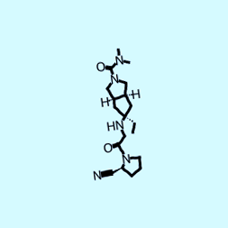 CC[C@]1(NCC(=O)N2CCC[C@H]2C#N)C[C@H]2CN(C(=O)N(C)C)C[C@H]2C1